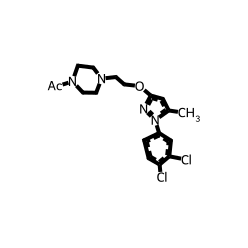 CC(=O)N1CCN(CCOc2cc(C)n(-c3ccc(Cl)c(Cl)c3)n2)CC1